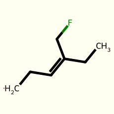 [CH2]CC=C(CC)CF